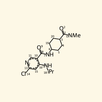 CNC(=O)C1CCC(NC(=O)c2cnc(Cl)cc2NC(C)C)CC1